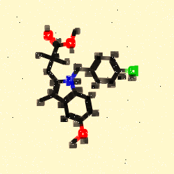 COC(=O)C(C)(C)Cc1c(C)c2cc(OC)ccc2n1Cc1ccc(Cl)cc1